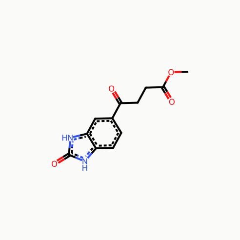 COC(=O)CCC(=O)c1ccc2[nH]c(=O)[nH]c2c1